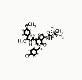 COc1ccc([C@@H](C)NC(=O)c2cn(Cc3ccc(Cl)cc3)c(=O)c3c2SC[C@@H]3NC(=O)OC(C)(C)C)cc1